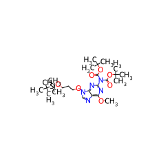 COc1nc(N(C(=O)OC(C)(C)C)C(=O)OC(C)(C)C)nc2c1ncn2OCCCO[Si](C)(C)C(C)(C)C